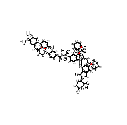 CC1(C)CCC(c2ccc(Cl)cc2)=C(CN2CCN(c3ccc(C(=O)NS(=O)(=O)c4ccc(N[C@H](CCN5CC6CC(C5)N6Cc5ccc6c(c5F)CN(C5CCC(=O)NC5=O)C6=O)CSc5ccccc5)c(S(=O)(=O)C(F)(F)F)c4)cc3)CC2)C1